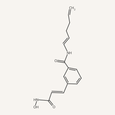 C=CCC/C=C/NC(=O)c1cccc(/C=C/C(=O)NO)c1